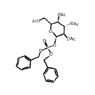 CC(=O)OCC1O[C@H](OP(=O)(OCc2ccccc2)OCc2ccccc2)C(OC(C)=O)[C@@H](OC(C)=O)[C@@H]1OC(C)=O